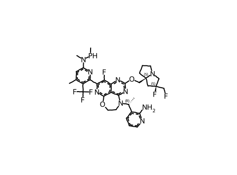 CPN(C)c1cc(C)c(C(F)(F)F)c(-c2nc3c4c(nc(OC[C@@]56CCCN5C[C@](F)(CF)C6)nc4c2F)N([C@H](C)c2cccnc2N)CCO3)n1